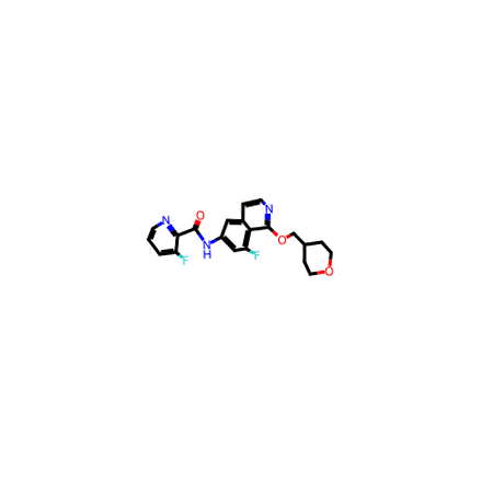 O=C(Nc1cc(F)c2c(OCC3CCOCC3)nccc2c1)c1ncccc1F